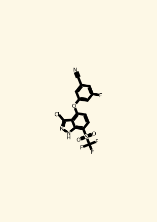 N#Cc1cc(F)cc(Oc2ccc(S(=O)(=O)C(F)(F)F)c3[nH]nc(Cl)c23)c1